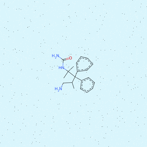 CC(CN)C(c1ccccc1)(c1ccccc1)C(C)(C)NC(N)=O